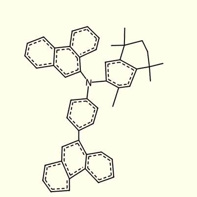 Cc1cc2c(cc1N(c1ccc(-c3cc4ccccc4c4ccccc34)cc1)c1cc3ccccc3c3ccccc13)C(C)(C)CCC2(C)C